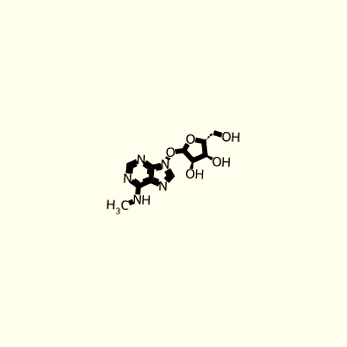 CNc1ncnc2c1ncn2OC1O[C@H](CO)[C@@H](O)[C@H]1O